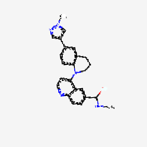 CNC(O)c1ccc2nccc(N3CCCc4cc(-c5cnn(C)c5)ccc43)c2c1